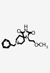 COCCN1C(=O)NC(=O)C12CCN(Cc1ccccc1)CC2